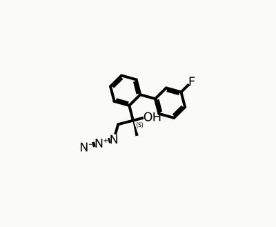 C[C@@](O)(CN=[N+]=[N-])c1ccccc1-c1cccc(F)c1